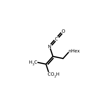 CCCCCCC/C(N=C=O)=C(/C)C(=O)O